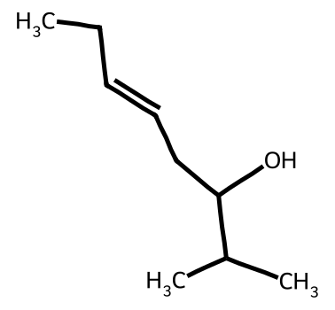 CCC=CCC(O)C(C)C